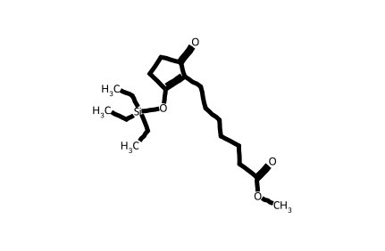 CC[Si](CC)(CC)OC1=C(CCCCCCC(=O)OC)C(=O)CC1